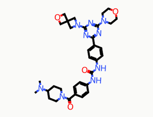 CN(C)C1CCN(C(=O)c2ccc(NC(=O)Nc3ccc(-c4nc(N5CCOCC5)nc(N5CC6(COC6)C5)n4)cc3)cc2)CC1